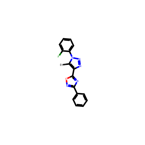 CCc1c(-c2nc(-c3ccccc3)no2)nnn1-c1ccccc1F